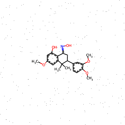 COc1cc(O)c2c(c1)C(C)(C)C(c1ccc(OC)c(OC)c1)CC2=NO